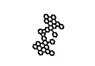 c1ccc(-c2cc3c4c(c2)N(c2c(-c5ccccc5)cccc2-c2ccccc2)c2ccccc2B4c2cc4c5cccc6c7cc8c(cc7n(c4cc2N3c2ccccc2)c56)N(c2ccccc2)c2cc(-c3ccccc3)cc3c2B8c2ccccc2N3c2c(-c3ccccc3)cccc2-c2ccccc2)cc1